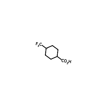 O=C(O)C1CC[C](C(F)(F)F)CC1